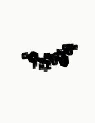 CO/N=C(/C(=O)OC)c1ccccc1CO/N=C(\C)C#Cc1ccc(Cl)cc1F